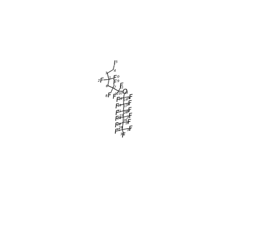 FC(F)(CCI)CC(F)(F)C(F)(F)OC(F)(F)C(F)(F)C(F)(F)C(F)(F)C(F)(F)C(F)(F)F